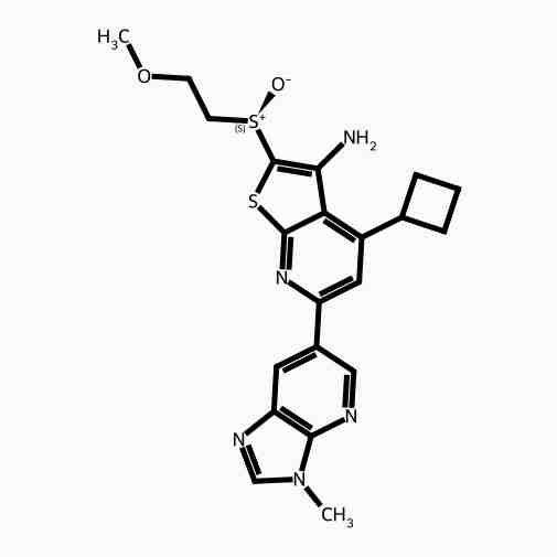 COCC[S@@+]([O-])c1sc2nc(-c3cnc4c(c3)ncn4C)cc(C3CCC3)c2c1N